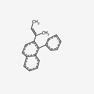 CC=C(C)c1ccc2ccccc2c1-c1ccccc1